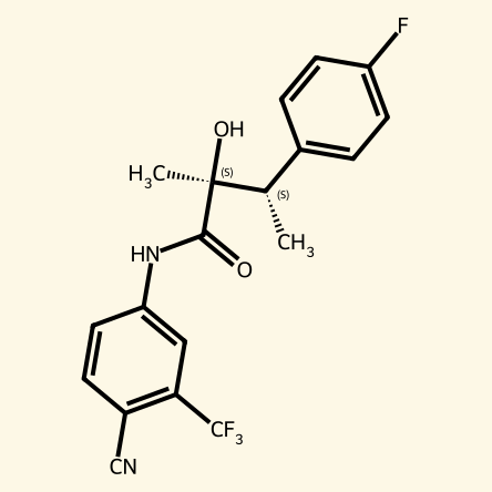 C[C@@H](c1ccc(F)cc1)[C@](C)(O)C(=O)Nc1ccc(C#N)c(C(F)(F)F)c1